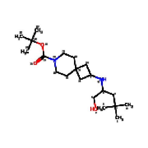 CC(C)(C)CC(CO)NC1CC2(CCN(C(=O)OC(C)(C)C)CC2)C1